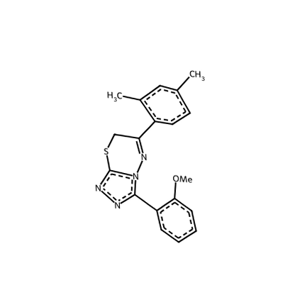 COc1ccccc1-c1nnc2n1N=C(c1ccc(C)cc1C)CS2